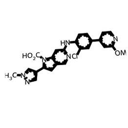 COc1cc(-c2ccc(Nc3cc4c(cn3)cc(-c3cnn(C)c3)n4C(=O)O)c(Cl)c2)ccn1